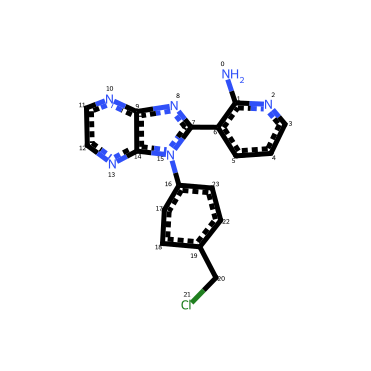 Nc1ncccc1-c1nc2nccnc2n1-c1ccc(CCl)cc1